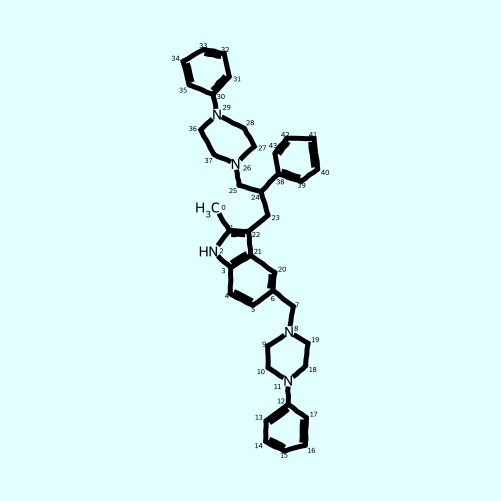 Cc1[nH]c2ccc(CN3CCN(c4ccccc4)CC3)cc2c1CC(CN1CCN(c2ccccc2)CC1)c1ccccc1